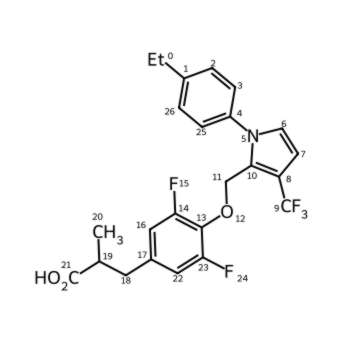 CCc1ccc(-n2ccc(C(F)(F)F)c2COc2c(F)cc(CC(C)C(=O)O)cc2F)cc1